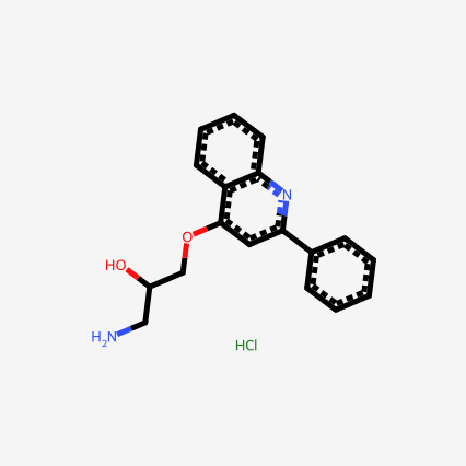 Cl.NCC(O)COc1cc(-c2ccccc2)nc2ccccc12